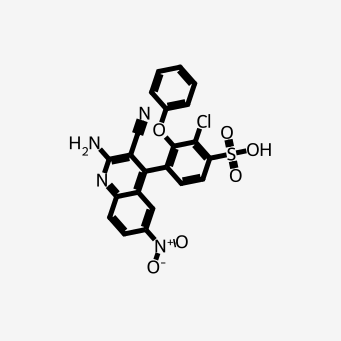 N#Cc1c(N)nc2ccc([N+](=O)[O-])cc2c1-c1ccc(S(=O)(=O)O)c(Cl)c1Oc1ccccc1